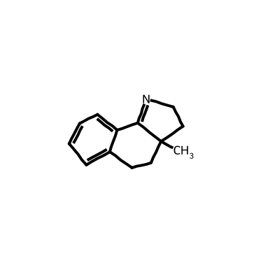 CC12CCN=C1c1ccccc1CC2